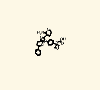 Nc1ncccc1-c1nc2ccc(-c3ccccc3)nc2n1-c1ccc(C2(NC(=O)O)COC2)cc1